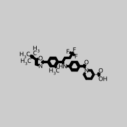 Cc1cc(-c2ncc(C(C)(C)C)o2)ccc1C(CCC(F)(F)F)Nc1ccc(C(=O)N2CCC[C@@H](C(=O)O)C2)cc1